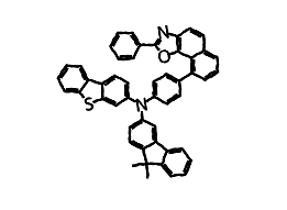 CC1(C)c2ccccc2-c2cc(N(c3ccc(-c4cccc5ccc6nc(-c7ccccc7)oc6c45)cc3)c3ccc4c(c3)sc3ccccc34)ccc21